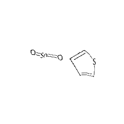 [O]=[Sn]=[O].c1ccsc1